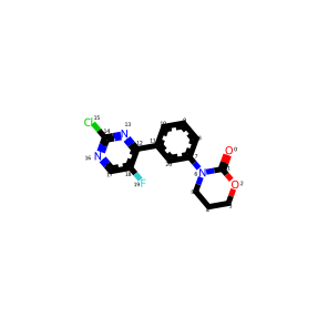 O=C1OCCCN1c1cccc(-c2nc(Cl)ncc2F)c1